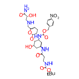 CC(C)(C)OC(=O)NCCC(=O)N[C@H]1C[C@@H](O)[C@H](O[C@@H]2CCC=C(CNCC(O)C(N)=O)O2)[C@@H](NC(=O)OCc2ccc([N+](=O)[O-])cc2)C1